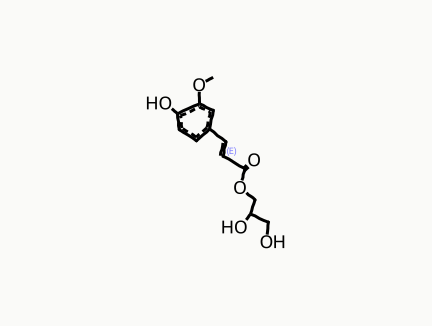 COc1cc(/C=C/C(=O)OCC(O)CO)ccc1O